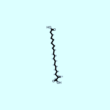 O=C(O)CCCCCCCCCCCCCCCCCC(I)C(=O)O